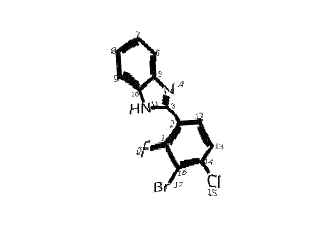 Fc1c(-c2nc3ccccc3[nH]2)ccc(Cl)c1Br